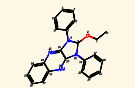 CCOC1N(c2ccccc2)C2=Nc3ccccc3NC2N1c1ccccc1